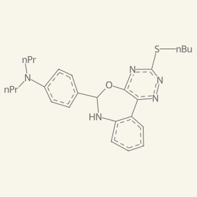 CCCCSc1nnc2c(n1)OC(c1ccc(N(CCC)CCC)cc1)Nc1ccccc1-2